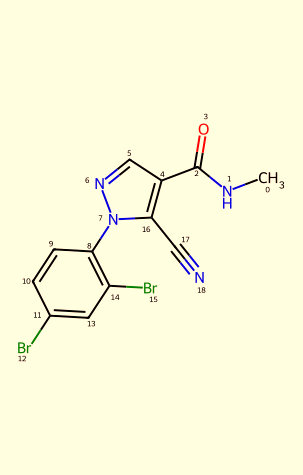 CNC(=O)c1cnn(-c2ccc(Br)cc2Br)c1C#N